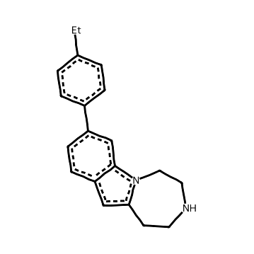 CCc1ccc(-c2ccc3cc4n(c3c2)CCNCC4)cc1